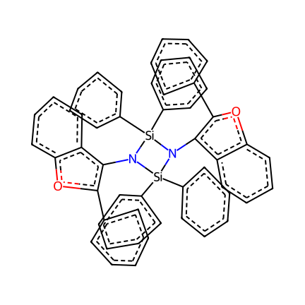 c1ccc(-c2oc3ccccc3c2N2[Si](c3ccccc3)(c3ccccc3)N(c3c(-c4ccccc4)oc4ccccc34)[Si]2(c2ccccc2)c2ccccc2)cc1